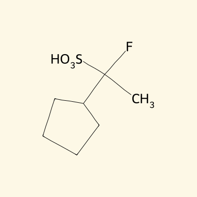 CC(F)(C1CCCC1)S(=O)(=O)O